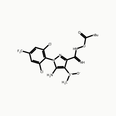 CCCCC(=O)ONC(=N)c1nn(-c2c(Cl)cc(C(F)(F)F)cc2Cl)c(N)c1[S+](C)[O-]